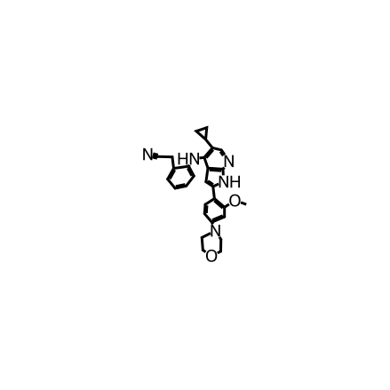 COc1cc(N2CCOCC2)ccc1-c1cc2c(Nc3ccccc3CC#N)c(C3CC3)cnc2[nH]1